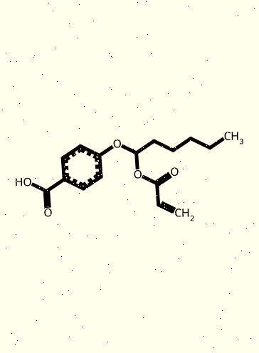 C=CC(=O)OC(CCCCC)Oc1ccc(C(=O)O)cc1